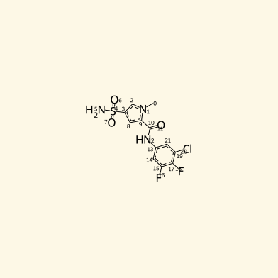 Cn1cc(S(N)(=O)=O)cc1C(=O)Nc1cc(F)c(F)c(Cl)c1